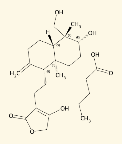 C=C1CC[C@@H]2[C@](C)(CO)[C@H](O)CC[C@@]2(C)[C@@H]1CCC1=C(O)COC1=O.CCCCC(=O)O